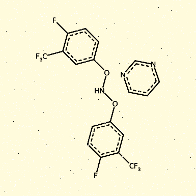 Fc1ccc(ONOc2ccc(F)c(C(F)(F)F)c2)cc1C(F)(F)F.c1cncnc1